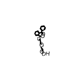 O=C(OCCOCCOO)c1ccccc1C(=O)c1ccccc1